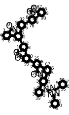 O=c1c2ccccc2c2cc(-c3ccc4c(c3)S(=O)(=O)c3ccc(-c5ccc6c(c5)c(=O)n5c7cc8c9ccccc9n(-c9nc(-c%10ccccc%10)nc(-c%10ccccc%10)n9)c8cc7c7cccc6c75)cc3-4)cc3c4cc(-c5ccc6c(c5)S(=O)(=O)c5ccccc5-6)ccc4n1c23